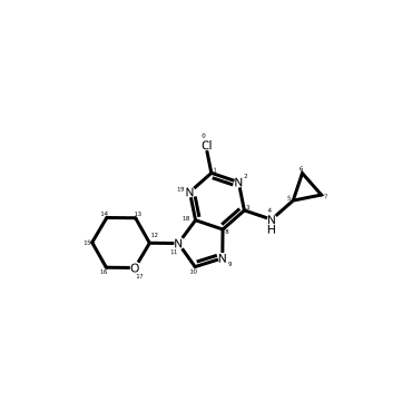 Clc1nc(NC2CC2)c2ncn(C3CCCCO3)c2n1